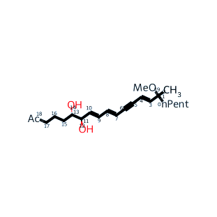 CCCCCC(C)(/C=C/C#C/C=C/C=C/[C@@H](O)[C@@H](O)CCCC(C)=O)OC